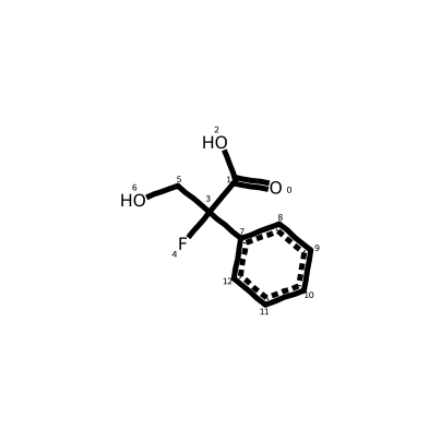 O=C(O)C(F)(CO)c1ccccc1